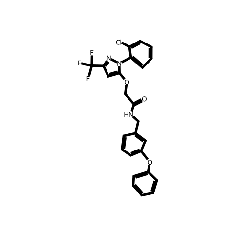 O=C(COc1cc(C(F)(F)F)nn1-c1ccccc1Cl)NCc1cccc(Oc2ccccc2)c1